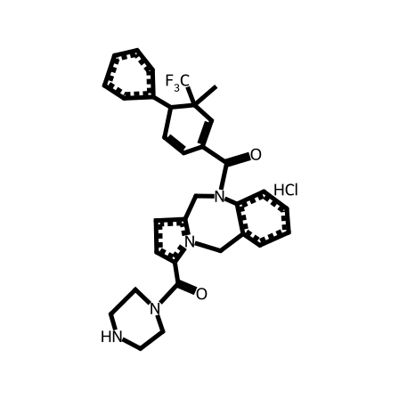 CC1(C(F)(F)F)C=C(C(=O)N2Cc3ccc(C(=O)N4CCNCC4)n3Cc3ccccc32)C=CC1c1ccccc1.Cl